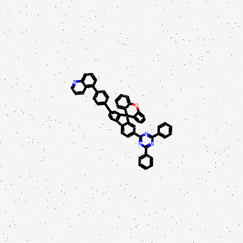 c1ccc(-c2nc(-c3ccccc3)nc(-c3ccc4c(c3)C3(c5ccccc5Oc5ccccc53)c3cc(-c5ccc(-c6cccc7ncccc67)cc5)ccc3-4)n2)cc1